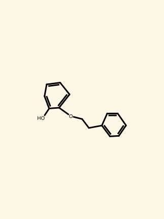 Oc1ccccc1OCCc1ccccc1